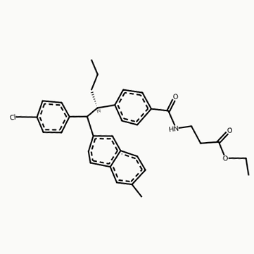 CCC[C@H](c1ccc(C(=O)NCCC(=O)OCC)cc1)C(c1ccc(Cl)cc1)c1ccc2cc(C)ccc2c1